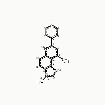 Cc1cc(-c2ccncc2)nc2ccc3c(ncn3C)c12